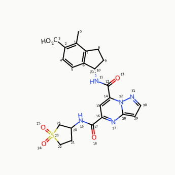 Cc1c(C(=O)O)ccc2c1CC[C@@H]2NC(=O)c1cc(C(=O)NC2CCS(=O)(=O)C2)nc2ccnn12